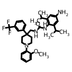 COc1ccccc1N1CCC(CNC(=O)Nc2c(C(C)C)cc(N)cc2C(C)C)(c2cccc(C(F)(F)F)c2)CC1